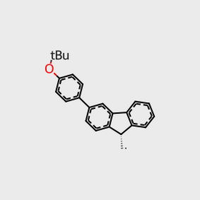 [CH2][C@H]1c2ccccc2-c2cc(-c3ccc(OC(C)(C)C)cc3)ccc21